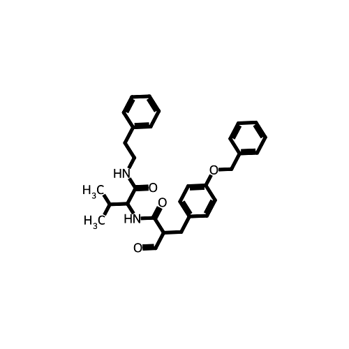 CC(C)C(NC(=O)C(C=O)Cc1ccc(OCc2ccccc2)cc1)C(=O)NCCc1ccccc1